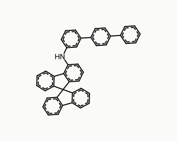 c1ccc(-c2ccc(-c3cccc(Nc4cccc5c4-c4ccccc4C54c5ccccc5-c5ccccc54)c3)cc2)cc1